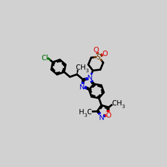 Cc1noc(C)c1-c1ccc2c(c1)nc([C@H](C)Cc1ccc(Cl)cc1)n2C1CCS(=O)(=O)CC1